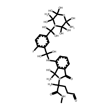 BC(CCC=O)(C(=O)NC)N1C(=O)c2cccc(NC(O)(O)c3cc(C(O)(O)N4C(B)(O)C(O)(O)OC(B)(O)C4(O)O)ccc3F)c2C1(B)O